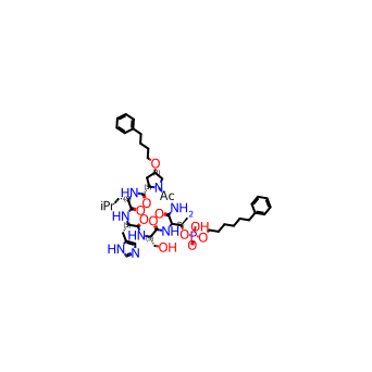 CC(=O)N1C[C@H](OCCCCc2ccccc2)C[C@H]1C(=O)N[C@@H](CC(C)C)C(=O)N[C@@H](Cc1cnc[nH]1)C(=O)N[C@@H](CO)C(=O)NC(C(N)=O)[C@@H](C)OP(=O)(O)OCCCCCCc1ccccc1